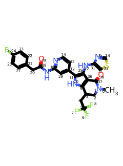 CN1CC(CC(F)(F)F)c2[nH]c(-c3ccnc(NC(=O)Cc4ccc(F)cc4)c3)c(Nc3cscn3)c2C1=O